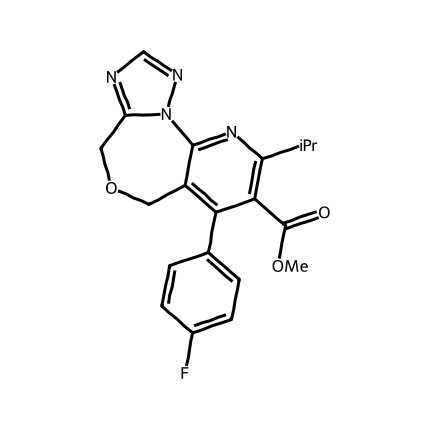 COC(=O)c1c(C(C)C)nc2c(c1-c1ccc(F)cc1)COCc1ncnn1-2